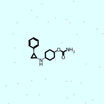 NC(=O)O[C@H]1CC[C@H](N[C@@H]2C[C@H]2c2ccccc2)CC1